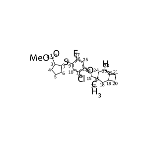 COC(=O)C1CCCC1Sc1cc(Cl)c(OCC2(C)CC3CC4C3[C@H]4C2)cc1F